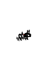 [2H]c1ccc(N(C)[C@@H]2C[C@H]3CC[C@@H]([C@@H]2F)N3C)nn1